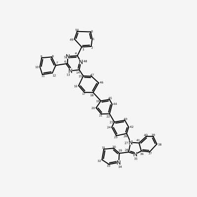 c1ccc(-c2nc(-c3ccccc3)nc(-c3ccc(-c4ccc(-c5ccc(-n6c(-c7ccccn7)nc7ccccc76)cc5)cc4)cc3)n2)cc1